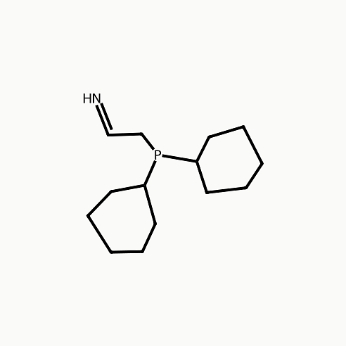 N=CCP(C1CCCCC1)C1CCCCC1